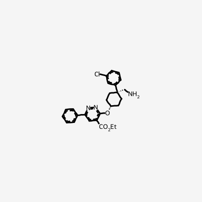 CCOC(=O)c1cc(-c2ccccc2)nnc1O[C@H]1CC[C@](CN)(c2cccc(Cl)c2)CC1